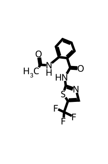 CC(=O)Nc1ccccc1C(=O)Nc1ncc(C(F)(F)F)s1